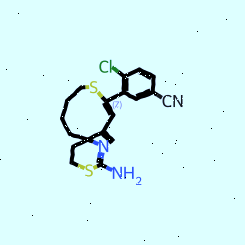 C=C1/C=C(/c2cc(C#N)ccc2Cl)SCCCCC12CCSC(N)=N2